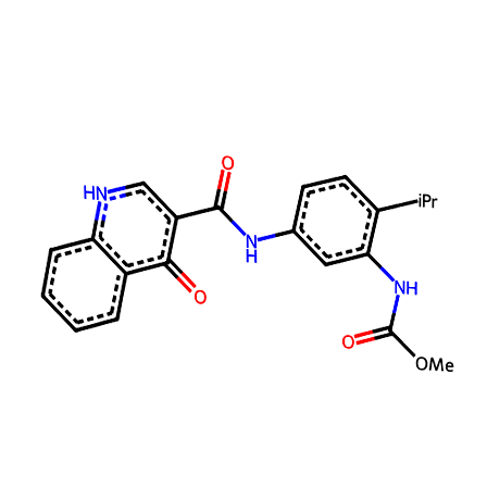 COC(=O)Nc1cc(NC(=O)c2c[nH]c3ccccc3c2=O)ccc1C(C)C